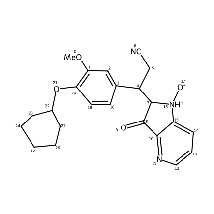 COc1cc(C(CC#N)C2C(=O)c3ncccc3[NH+]2[O-])ccc1OC1CCCCC1